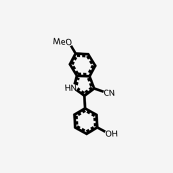 COc1ccc2c(C#N)c(-c3cccc(O)c3)[nH]c2c1